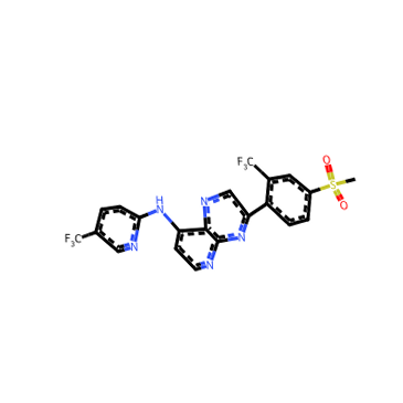 CS(=O)(=O)c1ccc(-c2cnc3c(Nc4ccc(C(F)(F)F)cn4)ccnc3n2)c(C(F)(F)F)c1